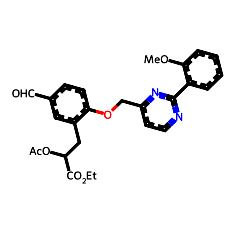 CCOC(=O)C(Cc1cc(C=O)ccc1OCc1ccnc(-c2ccccc2OC)n1)OC(C)=O